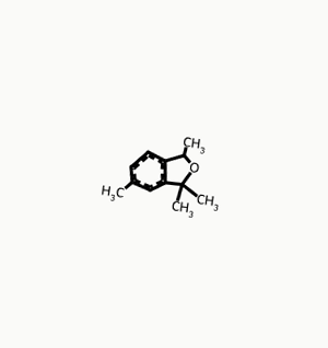 Cc1ccc2c(c1)C(C)(C)OC2C